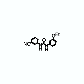 CCOc1cccc(NC(=O)Nc2cccc(C#N)c2)c1